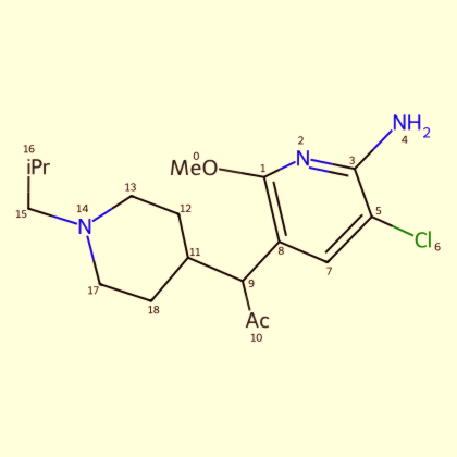 COc1nc(N)c(Cl)cc1C(C(C)=O)C1CCN(CC(C)C)CC1